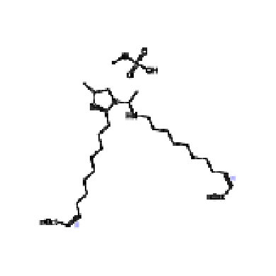 CCCCCCCC/C=C\CCCCCCCCNC(C)N1CC(C)N=C1CCCCCCCC/C=C\CCCCCCCC.COS(=O)(=O)O